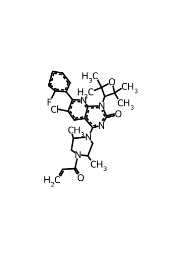 C=CC(=O)N1CC(C)N(c2nc(=O)n(C3C(C)(C)OC3(C)C)c3nc(-c4ccccc4F)c(Cl)cc23)CC1C